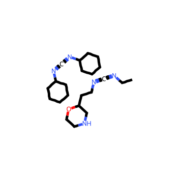 C(=NC1CCCCC1)=NC1CCCCC1.CCN=C=NCCC1CNCCO1